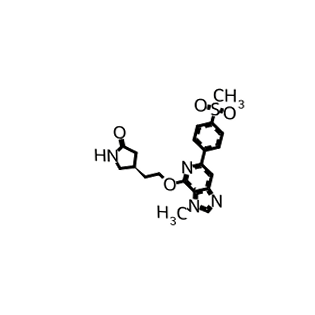 Cn1cnc2cc(-c3ccc(S(C)(=O)=O)cc3)nc(OCC[C@H]3CNC(=O)C3)c21